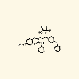 COc1ccc(CN(CCCN2CCC(Cc3ccccc3)CC2)C(=O)NC2CCCCC2)cc1.O=C(O)C(F)(F)F